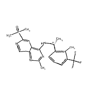 Cc1nc(N[C@H](C)c2cccc(C(F)(F)F)c2C)c2cc(P(C)(C)=O)ncc2n1